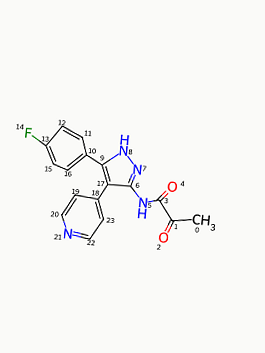 CC(=O)C(=O)Nc1n[nH]c(-c2ccc(F)cc2)c1-c1ccncc1